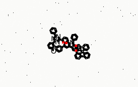 c1ccc(-c2nc(-c3ccccc3)nc(-c3cccc4oc5ccc(-c6ccc7c(c6)c6cc(-c8cccc9c8C(c8ccccc8)(c8ccccc8)c8ccccc8-9)ccc6n7-c6ccccc6)cc5c34)n2)cc1